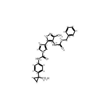 Cc1noc(-c2cn(C(=O)Nc3ccc(C4(C(=O)O)CC4)cc3)cn2)c1NC(=O)OCc1ccccc1